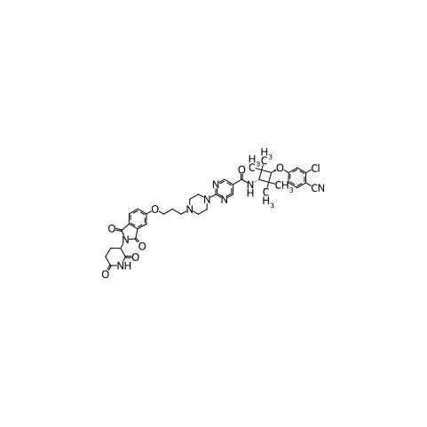 CC1(C)[C@H](NC(=O)c2cnc(N3CCN(CCCOc4ccc5c(c4)C(=O)N(C4CCC(=O)NC4=O)C5=O)CC3)nc2)C(C)(C)[C@H]1Oc1ccc(C#N)c(Cl)c1